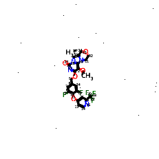 COc1c(OCc2cc(F)c(Oc3ccnc(C(F)(F)F)c3)c(F)c2)nc(=O)n2c1N1CCOC[C@@]1(C)C2